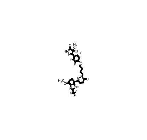 COc1ccc(-c2ccc(=O)n(CCCCOc3ccc(C4=NNC(=O)C4(C)C)c(F)c3F)n2)c2[nH]c(C(F)(F)F)nc12